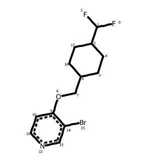 FC(F)C1CCC(COc2ccncc2Br)CC1